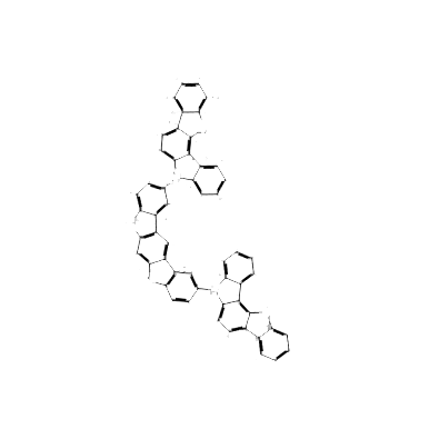 c1ccc2c(c1)oc1c2ccc2c1c1ccccc1n2-c1ccc2sc3cc4oc5ccc(-n6c7ccccc7c7c8sc9ccccc9c8ccc76)cc5c4cc3c2c1